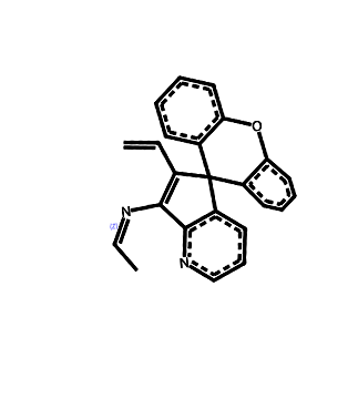 C=CC1=C(/N=C\C)c2ncccc2C12c1ccccc1Oc1ccccc12